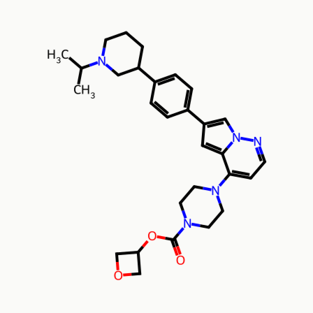 CC(C)N1CCCC(c2ccc(-c3cc4c(N5CCN(C(=O)OC6COC6)CC5)ccnn4c3)cc2)C1